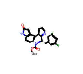 CC(C)(C)OC(=O)N[C@@H](Cc1cc(F)cc(F)c1)c1ncccc1-c1cccc2c1CC(=O)N2